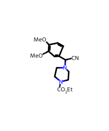 CCOC(=O)N1CCN(C(C#N)c2ccc(OC)c(OC)c2)CC1